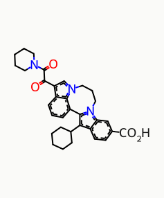 O=C(O)c1ccc2c(C3CCCCC3)c3n(c2c1)CCCn1cc(C(=O)C(=O)N2CCCCC2)c2cccc-3c21